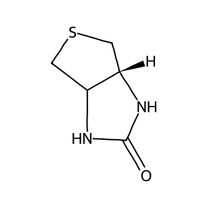 O=C1NC2CSC[C@@H]2N1